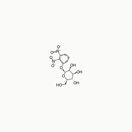 O=[N+]([O-])c1cccc(O[C@@H]2O[C@H](CO)[C@@H](O)[C@H](O)[C@@H]2O)c1[N+](=O)[O-]